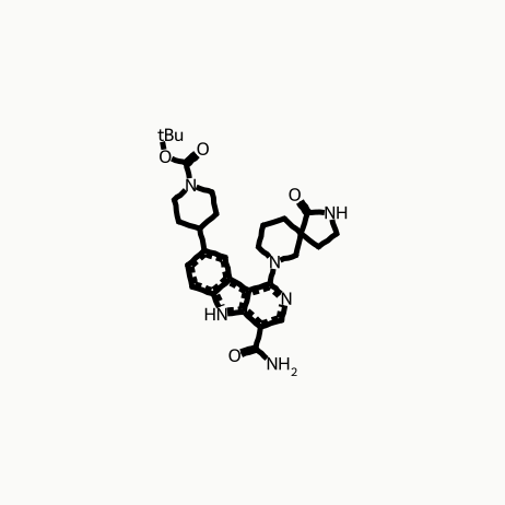 CC(C)(C)OC(=O)N1CCC(c2ccc3[nH]c4c(C(N)=O)cnc(N5CCCC6(CCNC6=O)C5)c4c3c2)CC1